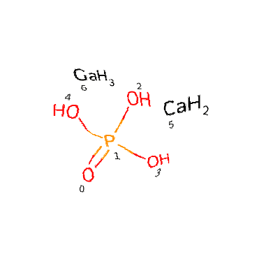 O=P(O)(O)O.[CaH2].[GaH3]